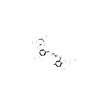 Nc1cc(NC2=NCC(O)CN2)cc(C(=O)NCC(=O)N[C@H](CC(=O)O)c2cc(Br)cc(Br)c2O)c1